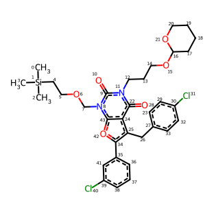 C[Si](C)(C)CCOCn1c(=O)n(CCCOC2CCCCO2)c(=O)c2c(Cc3ccc(Cl)cc3)c(-c3cccc(Cl)c3)oc21